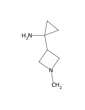 [CH2]N1CC(C2(N)CC2)C1